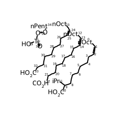 CCCCCCCC/C=C\CCCCCCC(C(=O)O)C(C)C.CCCCCCCC/C=C\CCCCCCCC(=O)O.CCCCCCCC/C=C\CCCCCCCC(=O)O.CCCCCO[O][Ti](=[O])[OH]